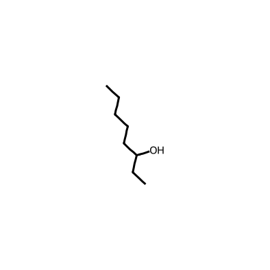 CCCCC[C](O)CC